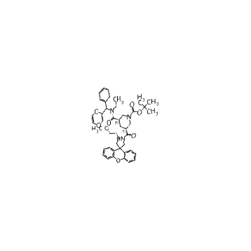 CCN(C(=O)[C@@H]1C[C@H](C(=O)NCC2(CCCCOC)c3ccccc3Oc3ccccc32)CN(C(=O)OC(C)(C)C)C1)C(C1=CC=CCC1)C1=COC=CO1